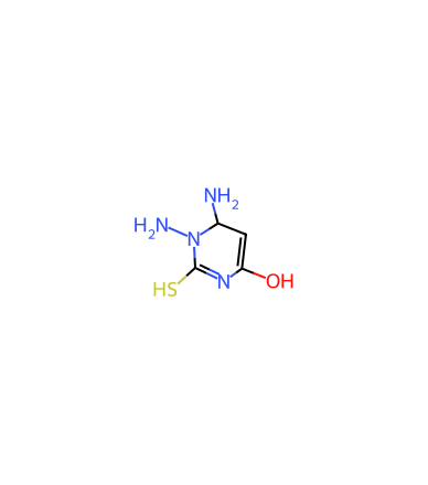 NC1C=C(O)N=C(S)N1N